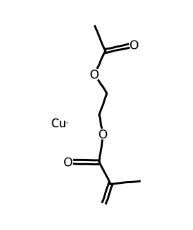 C=C(C)C(=O)OCCOC(C)=O.[Cu]